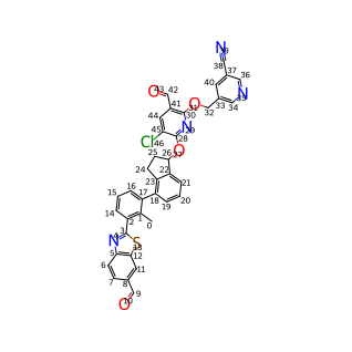 Cc1c(-c2nc3ccc(C=O)cc3s2)cccc1-c1cccc2c1CCC2Oc1nc(OCc2cncc(C#N)c2)c(C=O)cc1Cl